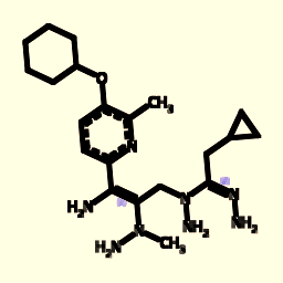 Cc1nc(/C(N)=C(\CN(N)/C(CC2CC2)=N\N)N(C)N)ccc1OC1CCCCC1